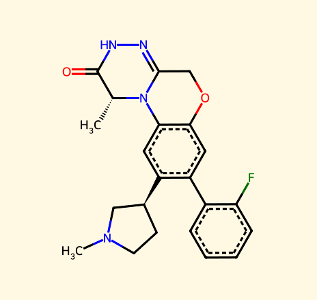 C[C@@H]1C(=O)NN=C2COc3cc(-c4ccccc4F)c([C@H]4CCN(C)C4)cc3N21